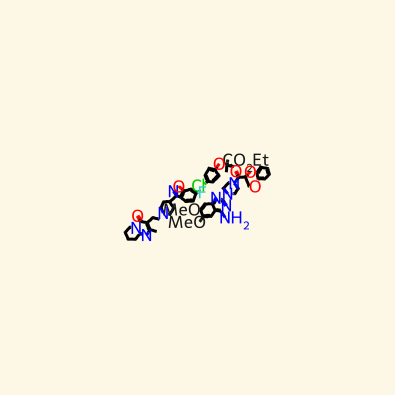 CCOC(=O)C(C)(C)Oc1ccc(Cl)cc1.COc1cc2nc(N3CCN(C(=O)C4COc5ccccc5O4)CC3)nc(N)c2cc1OC.Cc1nc2n(c(=O)c1CCN1CCC(c3noc4cc(F)ccc34)CC1)CCCC2